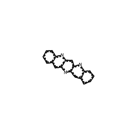 c1ccc2nc3cc4nc5ccccc5cc4nc3cc2c1